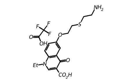 CCn1cc(C(=O)O)c(=O)c2cc(OCCSCCN)ccc21.O=C(O)C(F)(F)F